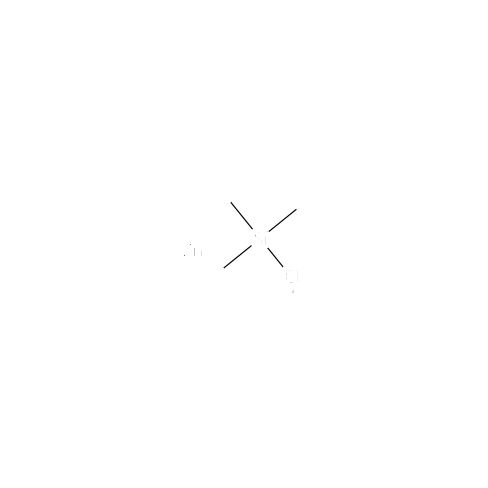 C[Si](C)(C)Cl.[Zn]